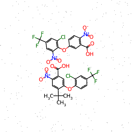 CC(C)(C)c1cc([N+](=O)[O-])c(C(=O)O)cc1Oc1ccc(C(F)(F)F)cc1Cl.O=C(O)c1cc(Oc2c(Cl)cc(C(F)(F)F)cc2[N+](=O)[O-])ccc1[N+](=O)[O-]